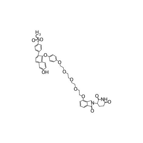 CS(=O)(=O)c1ccc(-c2ccc3cc(O)ccc3c2Oc2ccc(OCCOCCOCCOCCOc3cccc4c3CN(C3CCC(=O)NC3=O)C4=O)cc2)cc1